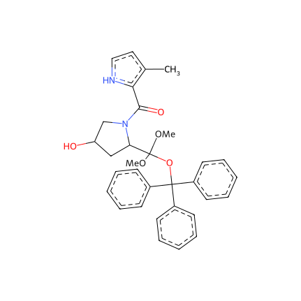 COC(OC)(OC(c1ccccc1)(c1ccccc1)c1ccccc1)C1CC(O)CN1C(=O)c1[nH]ccc1C